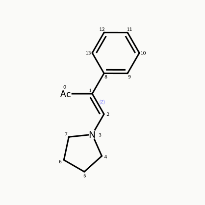 CC(=O)/C(=C\N1CCCC1)c1ccccc1